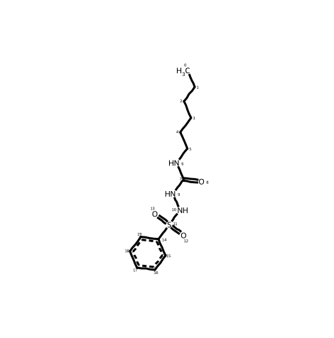 CCCCCCNC(=O)NNS(=O)(=O)c1ccccc1